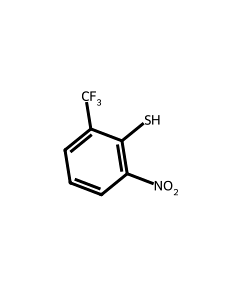 O=[N+]([O-])c1cccc(C(F)(F)F)c1S